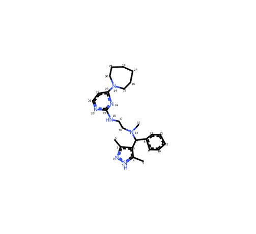 Cc1n[nH]c(C)c1C(c1ccccc1)N(C)CCNc1nccc(N2CCCCCC2)n1